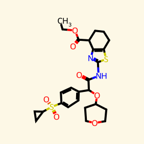 CCOC(=O)C1CCCc2sc(NC(=O)C(OC3CCOCC3)c3ccc(S(=O)(=O)C4CC4)cc3)nc21